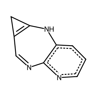 C1=Nc2ncccc2NC2=C1C2